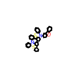 c1ccc(N(c2ccc3oc4ccccc4c3c2)c2cccc3c2sc2cccc(N(c4ccccc4)c4cccc5c4sc4ccccc45)c23)cc1